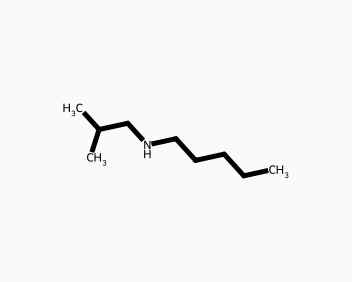 CCCCCNC[C](C)C